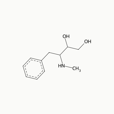 CNC(Cc1ccccc1)C(O)CO